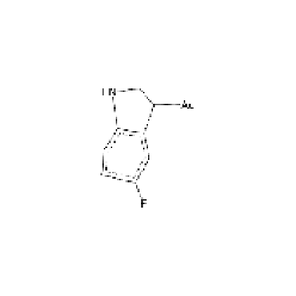 CC(=O)C1CNc2ccc(F)cc21